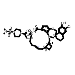 CN(C)S(=O)(=O)N1CCN(C(=O)C[C@@H]2CC/C=C/C[C@H]3CC[C@H]3CN3C[C@@]4(CCCc5cc(Cl)c(O)cc54)COc4ccc(cc43)C(=O)NS2(=O)=O)CC1